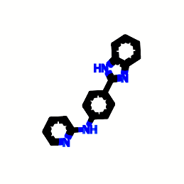 c1ccc(Nc2ccc(-c3nc4ccccc4[nH]3)cc2)nc1